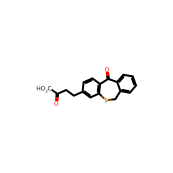 O=C(O)C(=O)CCc1ccc2c(c1)SCc1ccccc1C2=O